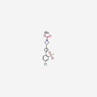 CC(C)(C)OC(=O)N1CC(C23CC(c4ccc(Cl)cc4S(C)(=O)=O)(C2)C3)C1